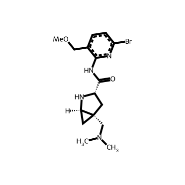 COCc1ccc(Br)nc1NC(=O)[C@@H]1C[C@@]2(CN(C)C)C[C@H]2N1